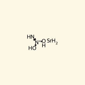 N=[N+](O)O.[SrH2]